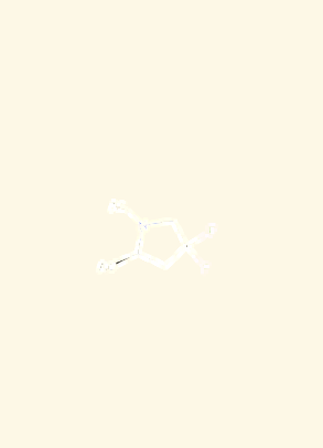 CC(=O)[C@@H]1CC(F)(F)CN1C(C)=O